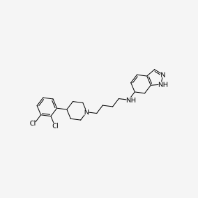 Clc1cccc(C2CCN(CCCCNC3C=Cc4cn[nH]c4C3)CC2)c1Cl